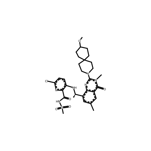 COC1CCC2(CC1)CCN(c1nc3c([C@@H](C)Nc4ccc(Cl)nc4C(=O)NS(C)(=O)=O)cc(C)cc3c(=O)n1C)CC2